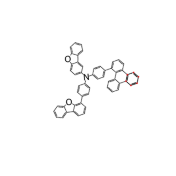 c1ccc(-c2ccccc2-c2c(-c3ccccc3)cccc2-c2ccc(N(c3ccc(-c4cccc5c4oc4ccccc45)cc3)c3ccc4oc5ccccc5c4c3)cc2)cc1